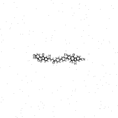 CCc1cc2c(cc1N1CCC(N3CCN(C(=O)CCNc4ccc5c(c4)C(=O)N(C4CCC(=O)NC4=O)C5=O)CC3)CC1)C(C)(C)c1[nH]c3cc(C#N)ccc3c1C2=O